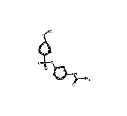 CCOc1ccc(S(=O)(=O)Oc2cccc(NC(N)=O)c2)cc1